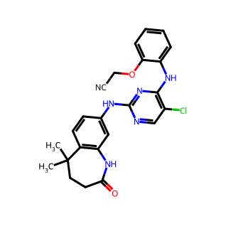 CC1(C)CCC(=O)Nc2cc(Nc3ncc(Cl)c(Nc4ccccc4OCC#N)n3)ccc21